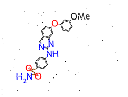 COc1cccc(Oc2ccc3cnc(Nc4ccc(S(N)(=O)=O)cc4)nc3c2)c1